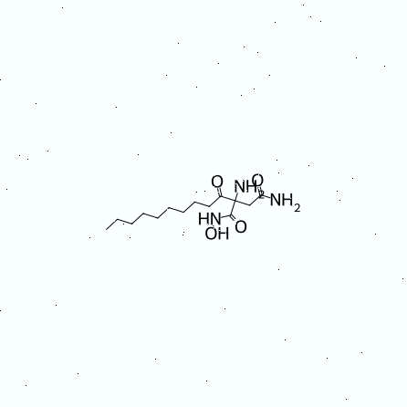 CCCCCCCCCC(=O)C(N)(CC(N)=O)C(=O)NO